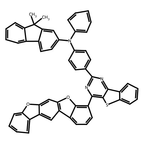 CC1(C)c2ccccc2-c2ccc(N(c3ccccc3)c3ccc(-c4nc(-c5cccc6c5oc5cc7oc8ccccc8c7cc56)c5sc6ccccc6c5n4)cc3)cc21